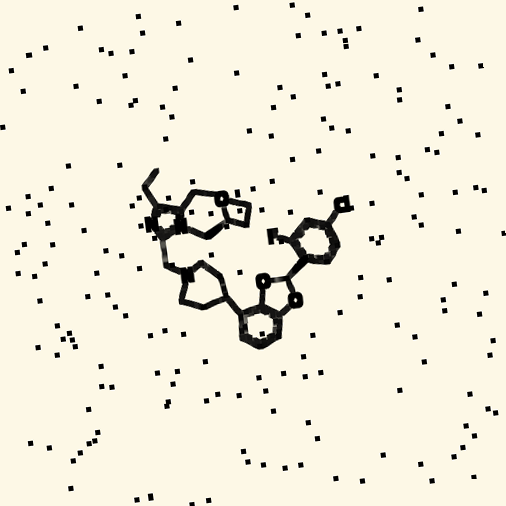 CCc1nc(CN2CCC(c3cccc4c3O[C@@H](c3ccc(Cl)cc3F)O4)CC2)n(C[C@@H]2CCO2)c1CC